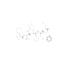 CCCNC(=O)[C@H](Cc1ccccc1)NC(=O)[C@H](C)C(OC)[C@@H]1CCCN1C(=O)CC(OC)[C@H]([C@@H](C)CC)N(C)C(=O)[C@@H](NC(=O)[C@H](C(C)C)N1CCNCC1)C(C)C